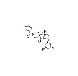 Cc1cc(C(=O)N2CCC3(CC2)O[C@@H]2CC[C@@H](c4cc(F)cc(F)c4)N2C3=O)n(C)c1